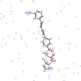 Nc1cccc(C#CC#Cc2ccc(C(=O)N[C@@H](Cc3c[nH]cn3)C(=O)O)cc2)c1